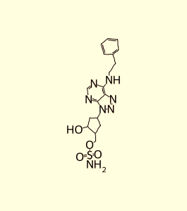 NS(=O)(=O)OCC1CC(n2nnc3c(NCCc4ccccc4)ncnc32)CC1O